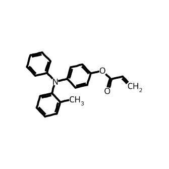 C=CC(=O)Oc1ccc(N(c2ccccc2)c2ccccc2C)cc1